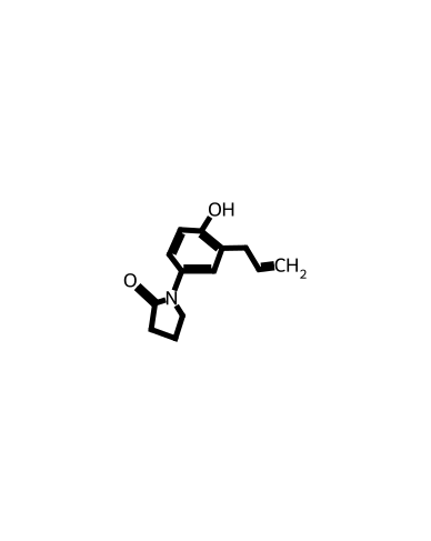 C=CCc1cc(N2CCCC2=O)ccc1O